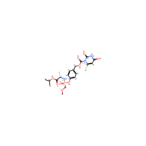 COCP(=O)(N[C@@H](C)C(=O)OC(C)C)Oc1ccc(COC(=O)n2c(F)cc(=O)[nH]c2=O)cc1